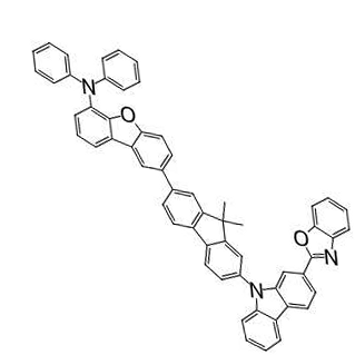 CC1(C)c2cc(-c3ccc4oc5c(N(c6ccccc6)c6ccccc6)cccc5c4c3)ccc2-c2ccc(-n3c4ccccc4c4ccc(-c5nc6ccccc6o5)cc43)cc21